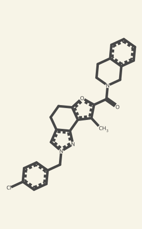 Cc1c(C(=O)N2CCc3ccccc3C2)oc2c1-c1nn(Cc3ccc(Cl)cc3)cc1CC2